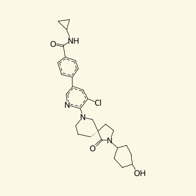 O=C(NC1CC1)c1ccc(-c2cnc(N3CCC[C@@]4(CCN(C5CCC(O)CC5)C4=O)C3)c(Cl)c2)cc1